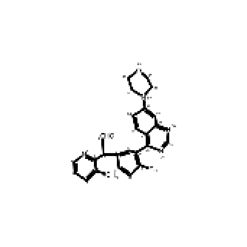 Cc1cccnc1C(C=O)c1ccc(F)c(-c2ncnc3cc(N4CCOCC4)ccc23)c1